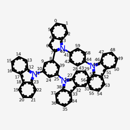 c1ccc2c(c1)cc(-c1cc(-n3c4ccccc4c4ccccc43)cc(-n3c4ccccc4c4ccccc43)c1)n2-c1ccc(-n2c3ccccc3c3ccccc32)cc1